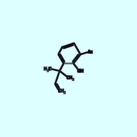 C=CC(C)(C)c1cccc(C(C)=O)c1O